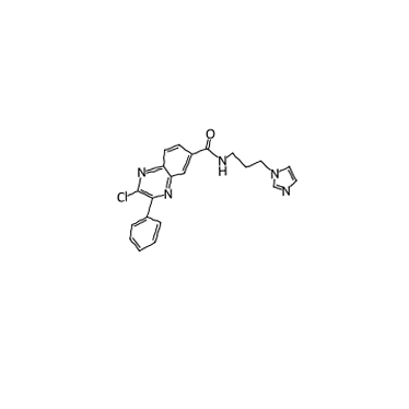 O=C(NCCCn1ccnc1)c1ccc2nc(Cl)c(-c3ccccc3)nc2c1